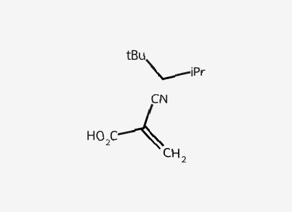 C=C(C#N)C(=O)O.CC(C)CC(C)(C)C